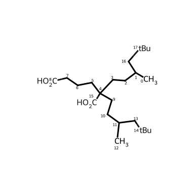 CC(CCC(CCCC(=O)O)(CCC(C)CC(C)(C)C)C(=O)O)CC(C)(C)C